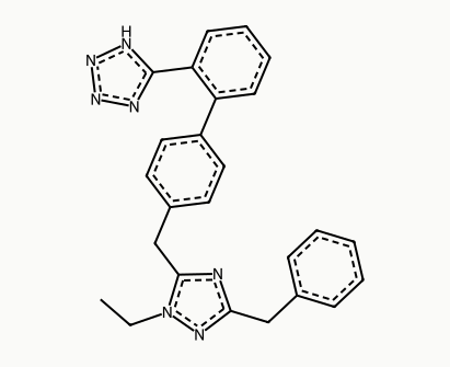 CCn1nc(Cc2ccccc2)nc1Cc1ccc(-c2ccccc2-c2nnn[nH]2)cc1